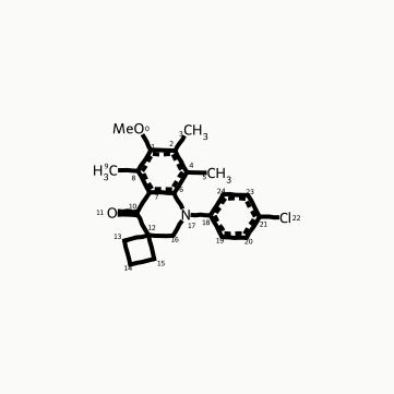 COc1c(C)c(C)c2c(c1C)C(=O)C1(CCC1)CN2c1ccc(Cl)cc1